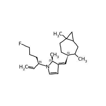 C=C[C@@H](CCCF)N1C=CC(=C[C@H]2CCC3(C)CC3CC2C)[C@@H]1C